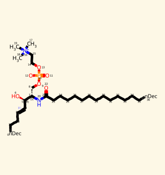 CCCCCCCCCCCC/C=C/[C@@H](O)[C@H](COP(=O)([O-])OCC[N+](C)(C)C)NC(=O)CCCCCCCCCCCCCCCCCCCCCCC